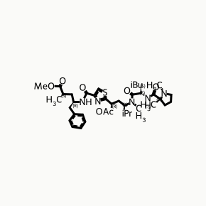 CC[C@H](C)[C@H](NC(=O)[C@@]1(C)CCCN1C)C(=O)N(C)[C@H](C[C@@H](OC(C)=O)c1nc(C(=O)N[C@@H](Cc2ccccc2)C[C@H](C)C(=O)OC)cs1)C(C)C